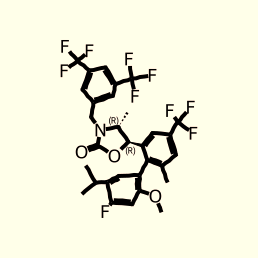 COc1cc(F)c(C(C)C)cc1-c1c(C)cc(C(F)(F)F)cc1[C@H]1OC(=O)N(Cc2cc(C(F)(F)F)cc(C(F)(F)F)c2)[C@@H]1C